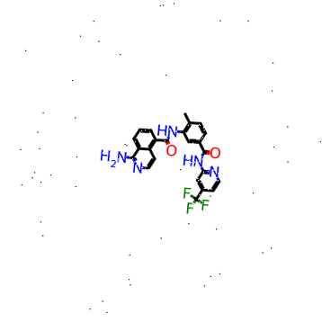 Cc1ccc(C(=O)Nc2cc(C(F)(F)F)ccn2)cc1NC(=O)c1cccc2c(N)nccc12